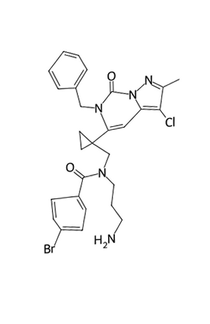 Cc1nn2c(=O)n(Cc3ccccc3)c(C3(CN(CCCN)C(=O)c4ccc(Br)cc4)CC3)cc2c1Cl